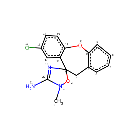 CN1OC2(Cc3ccccc3Oc3ccc(Cl)cc32)N=C1N